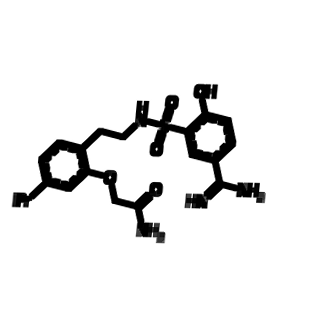 CC(C)c1ccc(CCNS(=O)(=O)c2cc(C(=N)N)ccc2O)c(OCC(N)=O)c1